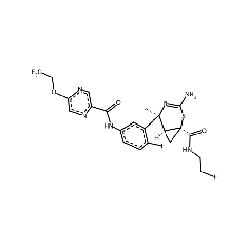 C[C@]1(c2cc(NC(=O)c3cnc(OCC(F)(F)F)cn3)ccc2F)N=C(N)S[C@@]2(C(=O)NCCF)C[C@H]21